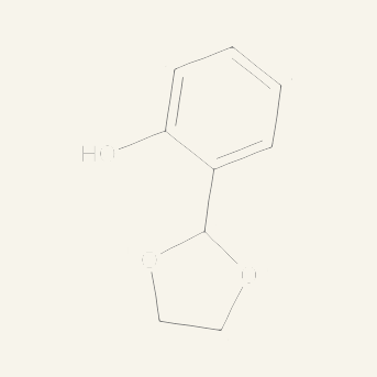 Oc1ccccc1C1OCCO1